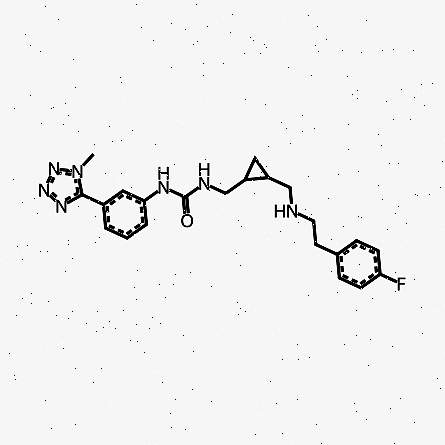 Cn1nnnc1-c1cccc(NC(=O)NCC2CC2CNCCc2ccc(F)cc2)c1